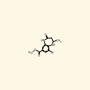 COC(=O)c1cc(Br)c2c(c1)NC(=O)CC(C)N2